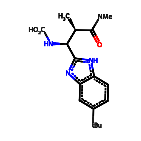 CNC(=O)[C@H](C)[C@H](NC(=O)O)c1nc2cc(C(C)(C)C)ccc2[nH]1